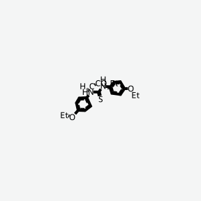 CCOC(C)=O.CCOc1ccc(NC(=S)Nc2ccc(OCC)cc2)cc1